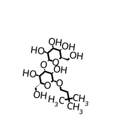 CC(C)(C)CCO[C@H]1O[C@H](CO)[C@@H](O)[C@H](O[C@H]2O[C@H](CO)[C@@H](O)[C@H](O)[C@@H]2O)[C@@H]1O